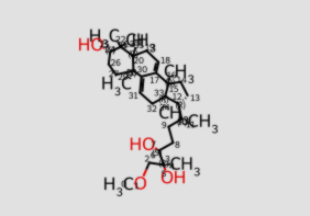 COC[C@@](C)(O)[C@@H](O)CC[C@@H](C)[C@H]1CC[C@@]2(C)C3=CC[C@H]4C(C)(C)[C@@H](O)CC[C@]4(C)C3=CC[C@]12C